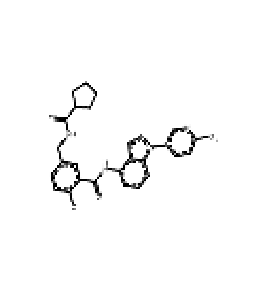 O=C(Nc1cccc2c1cnn2-c1ccc(C(F)(F)F)nc1)c1cc(CNC(=O)C2CCCC2)ccc1Cl